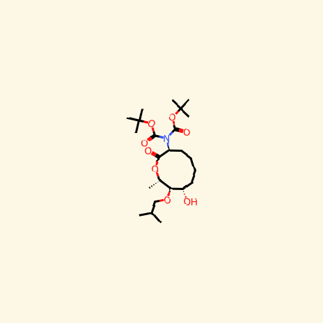 CC(C)CO[C@H]1[C@H](C)OC(=O)[C@@H](N(C(=O)OC(C)(C)C)C(=O)OC(C)(C)C)CCCC[C@@H]1O